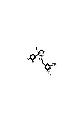 C=C[C@H]1CCO[C@H](OCCc2cc(C(F)(F)F)cc(C(F)(F)F)c2)[C@H]1c1ccc(F)c(F)c1